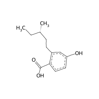 CC[C@H](C)CCc1cc(O)ccc1C(=O)O